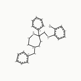 Clc1ccccc1OCC1(c2ccccc2)CCN(Cc2ccccc2)CCO1